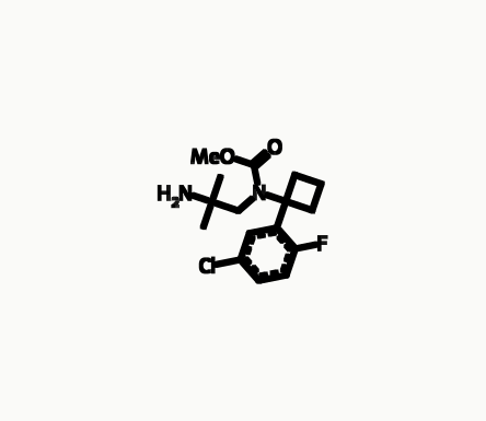 COC(=O)N(CC(C)(C)N)C1(c2cc(Cl)ccc2F)CCC1